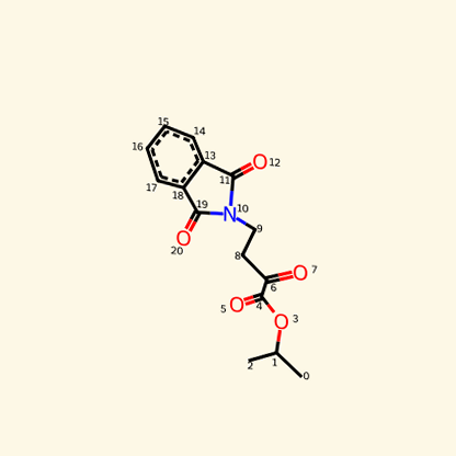 CC(C)OC(=O)C(=O)CCN1C(=O)c2ccccc2C1=O